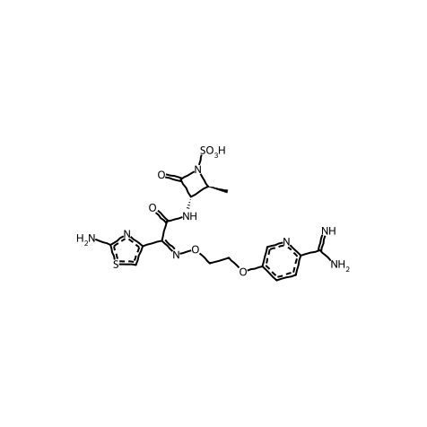 C[C@H]1[C@H](NC(=O)C(=NOCCOc2ccc(C(=N)N)nc2)c2csc(N)n2)C(=O)N1S(=O)(=O)O